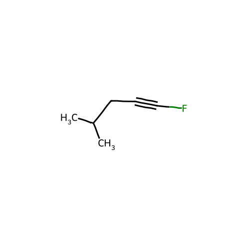 C[C](C)CC#CF